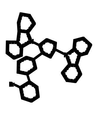 Brc1ccccc1-c1cccc(-c2cc(-n3c4ccccc4c4ccccc43)ccc2-n2c3ccccc3c3ccccc32)c1